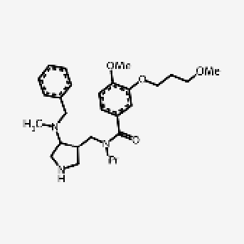 COCCCOc1cc(C(=O)N(CC2CNCC2N(C)Cc2ccccc2)C(C)C)ccc1OC